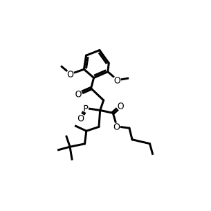 CCCCOC(=O)C(CC(=O)c1c(OC)cccc1OC)(CC(C)CC(C)(C)C)P=O